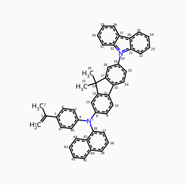 C=C(C)c1ccc(N(c2ccc3c(c2)C(C)(C)c2cc(-n4c5ccccc5c5ccccc54)ccc2-3)c2cccc3ccccc23)cc1